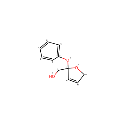 OCC1(Oc2ccccc2)C=CCO1